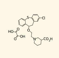 O=C(O)C(=O)O.O=C(O)C1CCCN(CCOC2Cc3cc(Cl)ccc3Sc3ccccc32)C1